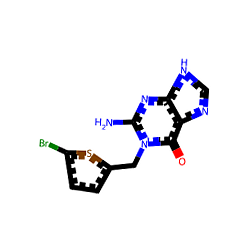 Nc1nc2[nH]cnc2c(=O)n1Cc1ccc(Br)s1